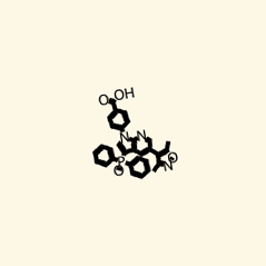 Cc1noc(C)c1-c1cnc2c(c1)c(P(=O)(c1ccccc1)c1ccccc1)cn2-c1ccc(C(=O)O)cc1